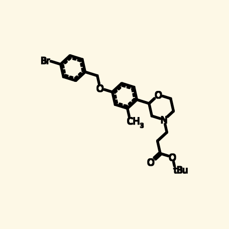 Cc1cc(OCc2ccc(Br)cc2)ccc1C1CN(CCC(=O)OC(C)(C)C)CCO1